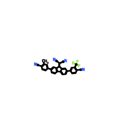 Cc1cc(-c2ccc3c(c2)C(=C(C#N)C#N)c2cc(-c4ccc(C#N)c(C(F)(F)F)c4)ccc2-3)ccc1C#N